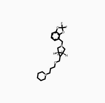 FC1(F)Oc2cccc(CN3C[C@@H]4C(COCCCN5CCCCC5)[C@@H]4C3)c2O1